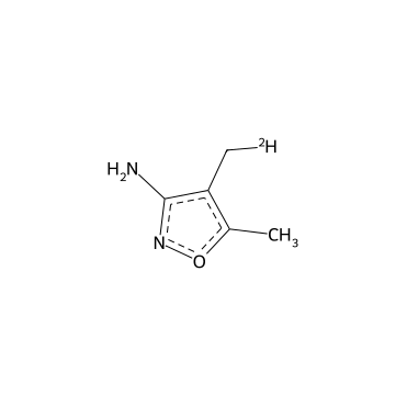 [2H]Cc1c(N)noc1C